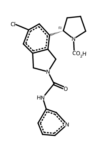 O=C(Nc1cccnc1)N1Cc2cc(Cl)cc([C@@H]3CCCN3C(=O)O)c2C1